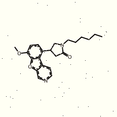 CCCCCCN1CC(c2ccc(OC)c3oc4cnccc4c23)CC1=O